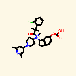 Cc1cc(N2CCC([N+](C)(C(=O)C(C)(C)c3ccccc3Cl)C3CCc4ccc(OC(=O)O)cc43)CC2)cc(C)n1